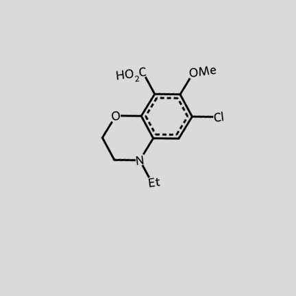 CCN1CCOc2c1cc(Cl)c(OC)c2C(=O)O